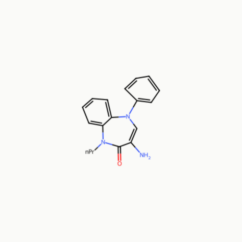 CCCN1C(=O)C(N)=CN(c2ccccc2)c2ccccc21